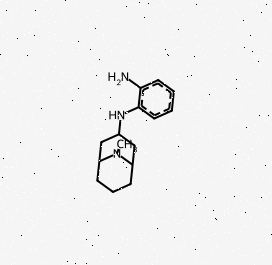 CN1C2CCCC1CC(Nc1ccccc1N)C2